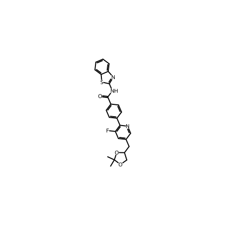 CC1(C)OCC(Cc2cnc(-c3ccc(C(=O)Nc4nc5ccccc5s4)cc3)c(F)c2)O1